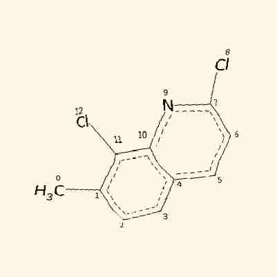 Cc1ccc2ccc(Cl)nc2c1Cl